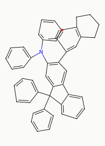 Cc1cc2c(cc1-c1cc3c(cc1N(c1ccccc1)c1ccccc1)C(c1ccccc1)(c1ccccc1)c1ccccc1-3)CCCC2